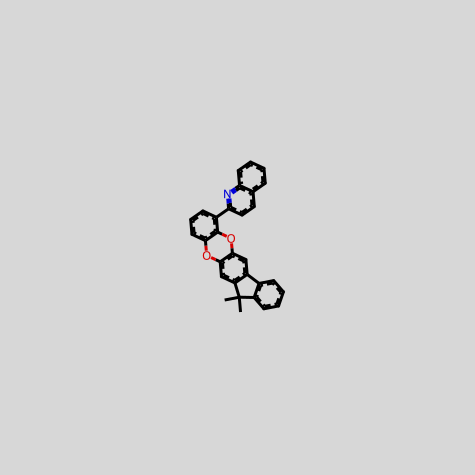 CC1(C)c2ccccc2-c2cc3c(cc21)Oc1cccc(-c2ccc4ccccc4n2)c1O3